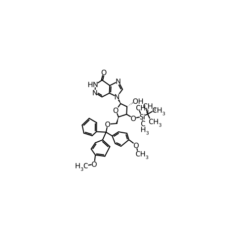 COc1ccc(C(OC[C@H]2O[C@@H](n3cnc4c(=O)[nH]ncc43)[C@H](O)C2O[Si](C)(C)C(C)(C)C)(c2ccccc2)c2ccc(OC)cc2)cc1